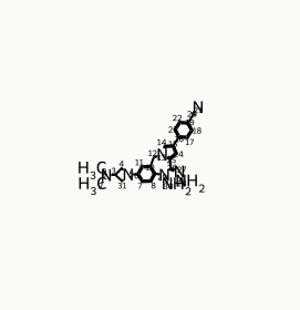 CN(C)C1CN(c2ccc3c(c2)Cn2cc(-c4ccc(C#N)cc4)cc2/C(=N/N)N3N)C1